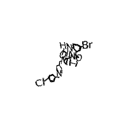 CNc1ccc(Br)cc1C(=O)NCC(=O)NCC1CCN(Cc2ccc(Cl)cc2)CC1